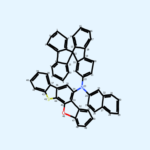 c1ccc2c(c1)-c1ccccc1C21c2ccccc2-c2ccc(N(c3ccc4ccccc4c3)c3cc4c5ccccc5sc4c4oc5ccccc5c34)cc21